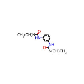 CN(O)C(=O)Nc1cccc(NC(=O)N(C)O)c1